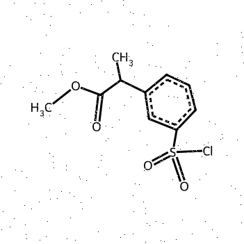 COC(=O)C(C)c1cccc(S(=O)(=O)Cl)c1